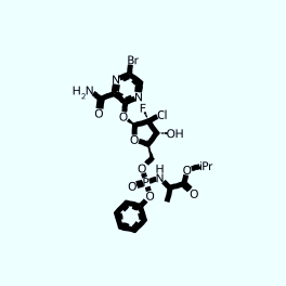 CC(C)OC(=O)C(C)NP(=O)(OC[C@H]1O[C@@H](Oc2ncc(Br)nc2C(N)=O)[C@@](F)(Cl)[C@@H]1O)Oc1ccccc1